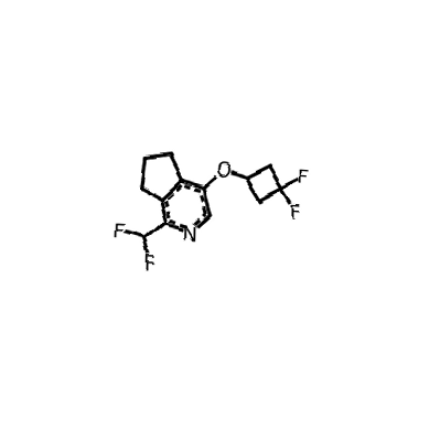 FC(F)c1ncc(OC2CC(F)(F)C2)c2c1CCC2